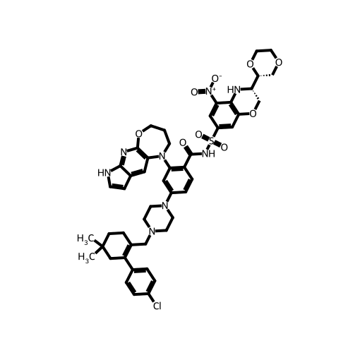 CC1(C)CCC(CN2CCN(c3ccc(C(=O)NS(=O)(=O)c4cc5c(c([N+](=O)[O-])c4)N[C@H]([C@H]4COCCO4)CO5)c(N4CCCOc5nc6[nH]ccc6cc54)c3)CC2)=C(c2ccc(Cl)cc2)C1